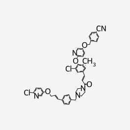 Cc1cc(C=CC(=O)N2CCN(Cc3ccc(C=CCOc4ccc(Cl)nc4)cc3)CC2)cc(Cl)c1Oc1ccc(OCc2ccc(C#N)cc2)cn1